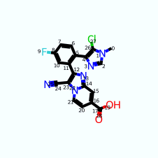 Cn1cnc(-c2ccc(F)cc2-c2nc3cc(C(=O)O)ccn3c2C#N)c1Cl